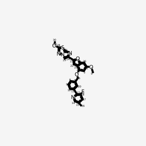 COc1cc(OCc2cccc(-c3ncc(C)cc3F)c2)c2cc(-c3cn4nc(OC)sc4n3)oc2c1